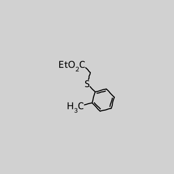 CCOC(=O)CSc1ccccc1C